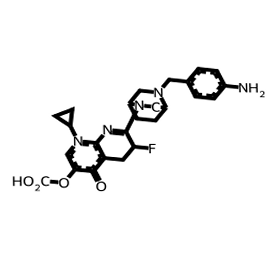 Nc1ccc(CN2CC3CCC2CN3C2=Nc3c(c(=O)c(OC(=O)O)cn3C3CC3)CC2F)cc1